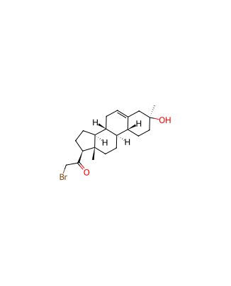 C[C@]1(O)CC[C@H]2C(=CC[C@@H]3[C@@H]2CC[C@]2(C)[C@@H](C(=O)CBr)CC[C@@H]32)C1